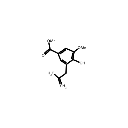 C=C(C)Cc1cc(C(=O)OC)cc(OC)c1O